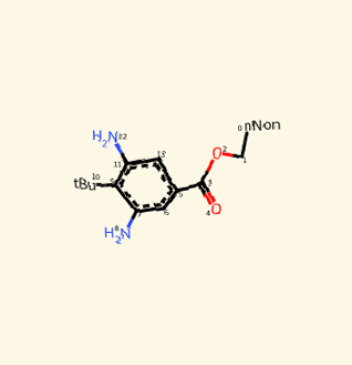 CCCCCCCCCCOC(=O)c1cc(N)c(C(C)(C)C)c(N)c1